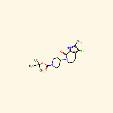 Cc1[nH]c2c(c1Cl)CCCN(C1CCN(C(=O)OC(C)(C)C)CC1)C2=O